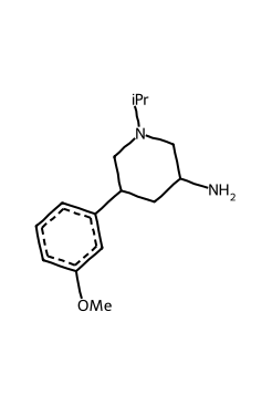 COc1cccc(C2CC(N)CN(C(C)C)C2)c1